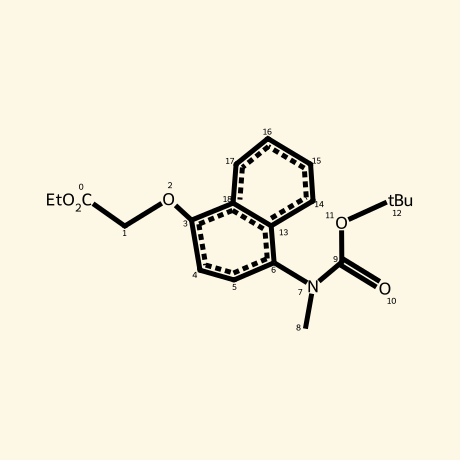 CCOC(=O)COc1ccc(N(C)C(=O)OC(C)(C)C)c2ccccc12